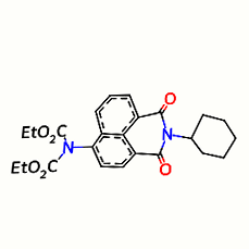 CCOC(=O)N(C(=O)OCC)c1ccc2c3c(cccc13)C(=O)N(C1CCCCC1)C2=O